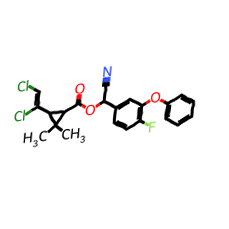 CC1(C)C(C(=O)OC(C#N)c2ccc(F)c(Oc3ccccc3)c2)C1C(Cl)=CCl